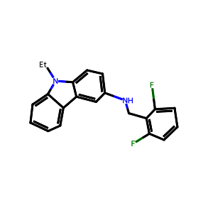 CCn1c2ccccc2c2cc(NCc3c(F)cccc3F)ccc21